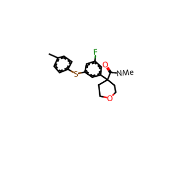 CNC(=O)C1(c2cc(F)cc(Sc3ccc(C)cc3)c2)CCOCC1